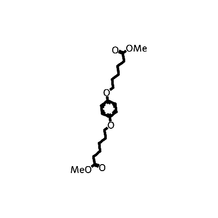 COC(=O)CCCCCOc1ccc(OCCCCCC(=O)OC)cc1